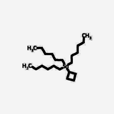 CCCCC[CH2][Sn]([CH2]CCCCC)([CH2]CCCCC)[CH]1CCC1